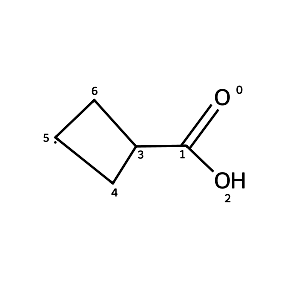 O=C(O)C1C[CH]C1